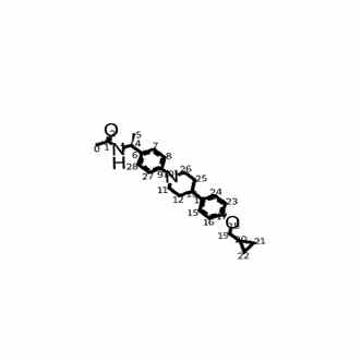 CC(=O)N[C@@H](C)c1ccc(N2CCC(c3ccc(OCC4CC4)cc3)CC2)cc1